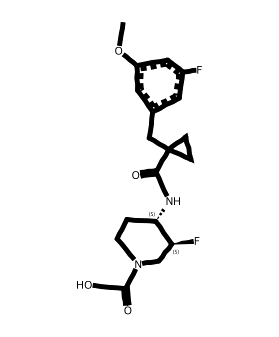 COc1cc(F)cc(CC2(C(=O)N[C@H]3CCN(C(=O)O)C[C@@H]3F)CC2)c1